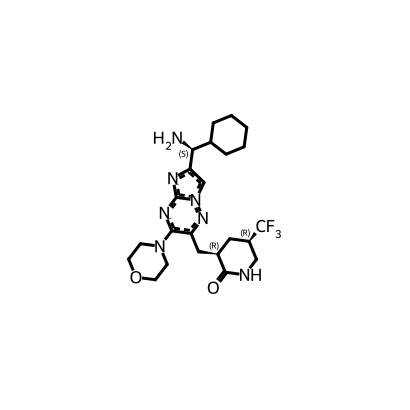 N[C@H](c1cn2nc(C[C@H]3C[C@@H](C(F)(F)F)CNC3=O)c(N3CCOCC3)nc2n1)C1CCCCC1